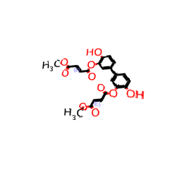 COC(=O)/C=C/C(=O)Oc1cc(-c2ccc(O)c(OC(=O)/C=C/C(=O)OC)c2)ccc1O